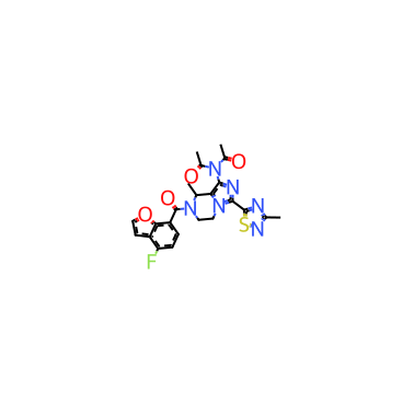 CC(=O)N(C(C)=O)c1nc(-c2nc(C)ns2)n2c1C(C)N(C(=O)c1ccc(F)c3ccoc13)CC2